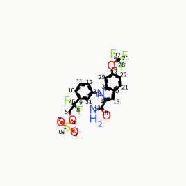 CS(=O)(=O)OCC(F)(F)c1cccc(-n2c(C(N)=O)cc3ccc(OC(F)(F)F)cc32)c1